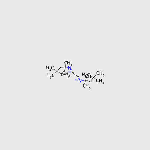 CC(C)(C)CC(C)(C)/N=C/C=N/C(C)(C)CC(C)(C)C